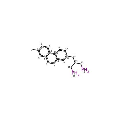 Cc1ccc2c(ccc3cc(CC(CP)CP)ccc32)c1